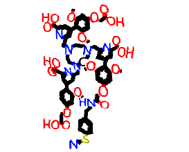 COc1cc(OCC(=O)O)ccc1-c1cc(CN2CCN(Cc3cc(-c4c(OC)cc(OCC(=O)O)cc4OC)cc(C(=O)O)n3)CCN(Cc3cc(-c4c(OC)cc(OCC(=O)NCCc5ccc(SC#N)cc5)cc4OC)cc(C(=O)O)n3)CC2)nc(C(=O)O)c1